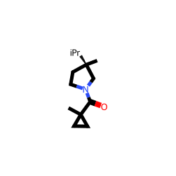 CC(C)[C@]1(C)CCN(C(=O)C2(C)CC2)C1